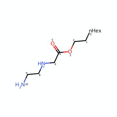 CCCCCCCCOC(=O)CNCCN